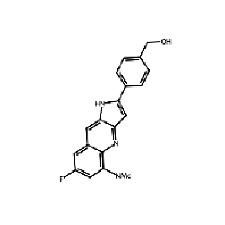 CNc1cc(F)cc2cc3[nH]c(-c4ccc(CO)cc4)cc3nc12